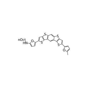 CCCCCCCCNc1ccc(-c2cc3sc4cc5sc6cc(-c7ccc(C)o7)sc6c5cc4c3s2)o1